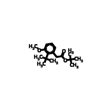 COc1cccc(CC(=O)OC(C)(C)C)c1C(C)(C)C